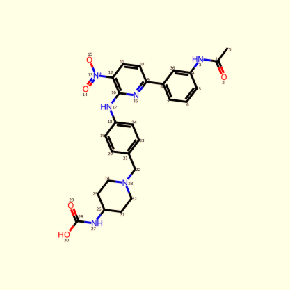 CC(=O)Nc1cccc(-c2ccc([N+](=O)[O-])c(Nc3ccc(CN4CCC(NC(=O)O)CC4)cc3)n2)c1